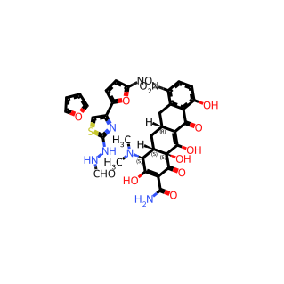 CN(C)[C@@H]1C(O)=C(C(N)=O)C(=O)[C@@]2(O)C(O)=C3C(=O)c4c(O)ccc([N+](=O)[O-])c4C[C@H]3C[C@@H]12.O=CNNc1nc(-c2ccc([N+](=O)[O-])o2)cs1.c1ccoc1